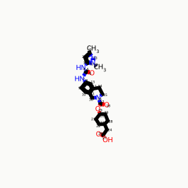 Cc1cc(NC(=O)Nc2ccc3c(c2)CCN(C(=O)OC2CCC(CC(=O)O)CC2)C3)n(C)n1